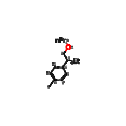 CCCOCC(CC)c1ccc(C)cc1